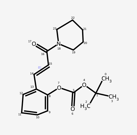 CC(C)(C)OC(=O)Oc1ccccc1/C=C/C(=O)N1CCCCC1